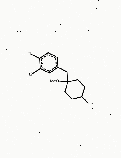 COC1(Cc2ccc(Cl)c(Cl)c2)CCC(C(C)C)CC1